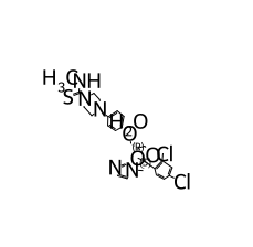 CNC(=S)N1CCN(c2ccc(OC[C@@H]3CO[C@@](Cn4ccnc4)(c4ccc(Cl)cc4Cl)O3)cc2)CC1.O